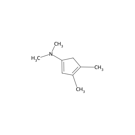 CC1=C(C)CC(N(C)C)=C1